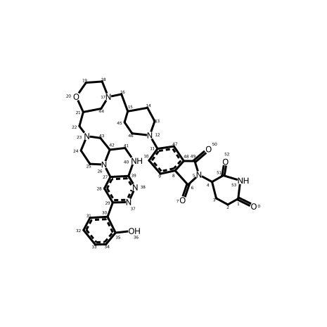 O=C1CCC(N2C(=O)c3ccc(N4CCC(CN5CCOC(CN6CCN7c8cc(-c9ccccc9O)nnc8NCC7C6)C5)CC4)cc3C2=O)C(=O)N1